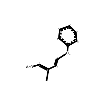 CC(=O)OC=C(C)C=COc1ccccc1